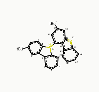 CC(C)(C)c1ccc2c(c1)-c1ccccc1[SH]2c1cc(C(C)(C)C)cc2sc3ccccc3c12